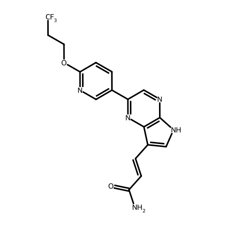 NC(=O)/C=C/c1c[nH]c2ncc(-c3ccc(OCCC(F)(F)F)nc3)nc12